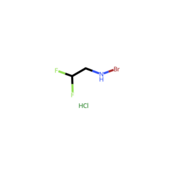 Cl.FC(F)CNBr